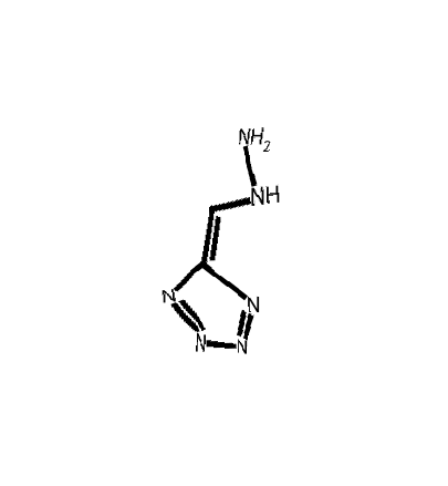 NNC=C1N=NN=N1